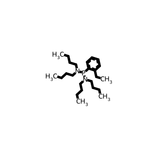 CCCCN(CCCC)P(c1ccccc1CC)N(CCCC)CCCC